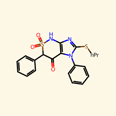 CCCSc1nc2c(n1-c1ccccc1)C(=O)C(c1ccccc1)S(=O)(=O)N2